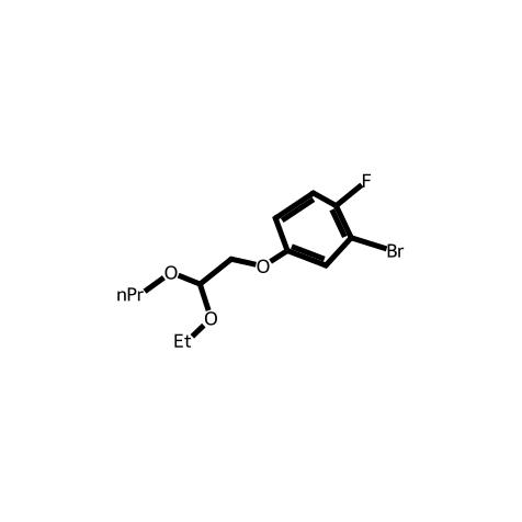 CCCOC(COc1ccc(F)c(Br)c1)OCC